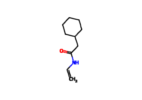 C=CNC(=O)CC1CCCCC1